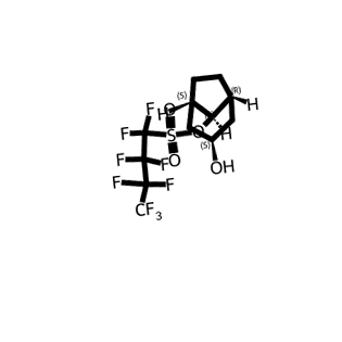 O=S(=O)(O[C@@H]1[C@@H]2CC[C@H]1C[C@H](O)C2)C(F)(F)C(F)(F)C(F)(F)C(F)(F)F